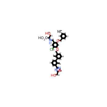 Cc1c(COc2cc(OCc3cccc(C#N)c3)c(CN[C@H](CO)C(=O)O)cc2Cl)cccc1-c1cccc(-c2noc(CO)n2)c1C